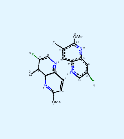 CC[C]1[C]2N=C(OC)C=CC2=NC=C1F.CCc1cc2ncc(F)cc2nc1OC